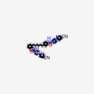 CC(C)c1cccc(CCCCCCc2ccc(NC(=O)N3CCN(c4ccc(C#N)cn4)CC3)cc2)c1NC(=O)N1CCN(c2ccc(C#N)cn2)CC1